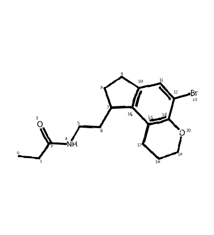 CCC(=O)NCCC1CCc2cc(Br)c3c(c21)CCCO3